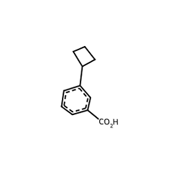 O=C(O)c1cccc(C2CCC2)c1